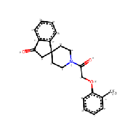 O=C1CC2(CCN(C(=O)COc3ccccc3C(F)(F)F)CC2)c2ccccc21